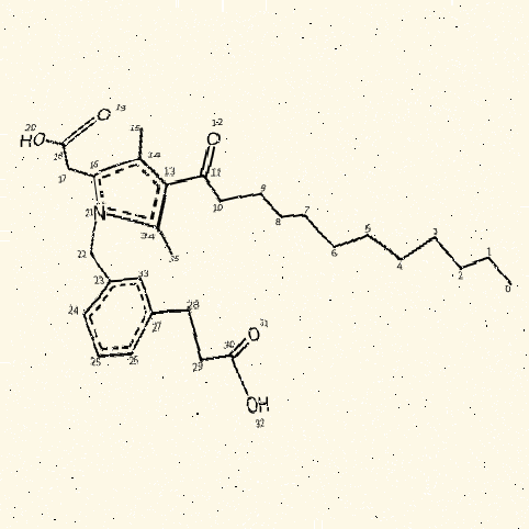 CCCCCCCCCCCC(=O)c1c(C)c(CC(=O)O)n(Cc2cccc(CCC(=O)O)c2)c1C